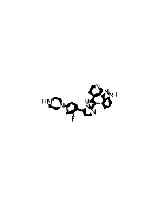 Fc1cc(N2CCNCC2)ccc1-c1ccnc2c(-c3cccc4[nH]ncc34)c(-c3ccncc3)nn12